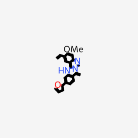 C=Cc1ccc(C2CC=CO2)cc1Nc1ncnc2cc(OC)c(C=C)cc12